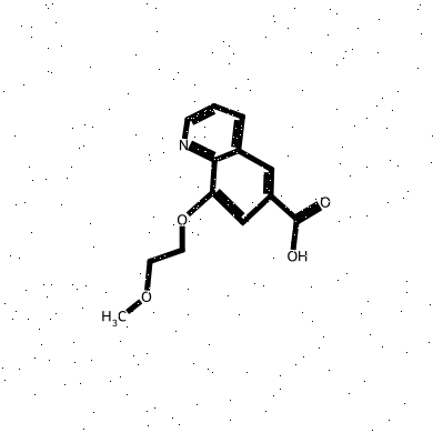 COCCOc1cc(C(=O)O)cc2cccnc12